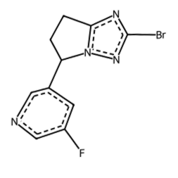 Fc1cncc(C2CCc3nc(Br)nn32)c1